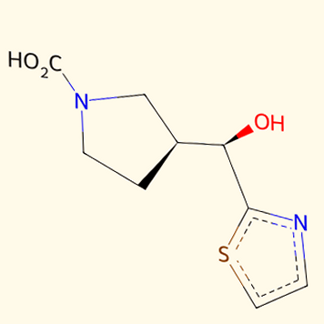 O=C(O)N1CC[C@H]([C@@H](O)c2nccs2)C1